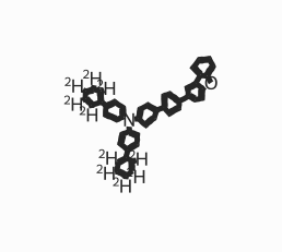 [2H]c1c([2H])c([2H])c(-c2ccc(N(c3ccc(-c4ccc(-c5ccc6oc7ccccc7c6c5)cc4)cc3)c3ccc(-c4c([2H])c([2H])c([2H])c([2H])c4[2H])cc3)cc2)c([2H])c1[2H]